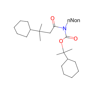 CCCCCCCCCN(C(=O)CC(C)(C)C1CCCCC1)C(=O)OC(C)(C)C1CCCCC1